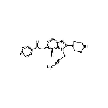 CC#CCn1c(N2CCNCC2)nc2cnn(CC(=O)c3ccncc3)c(=O)c21